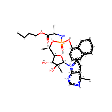 CCCCOC(=O)[C@H](C)NP(=O)(Oc1cccc2ccccc12)O[C@H](C)[C@H]1O[C@@H](n2ccc3c(C)ncnc32)[C@](C)(O)[C@@H]1O